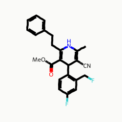 COC(=O)C1=C(CCc2ccccc2)NC(C)=C(C#N)C1c1ccc(F)cc1CF